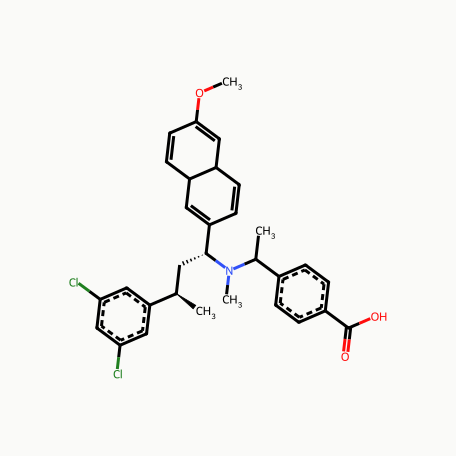 COC1=CC2C=CC([C@@H](C[C@@H](C)c3cc(Cl)cc(Cl)c3)N(C)C(C)c3ccc(C(=O)O)cc3)=CC2C=C1